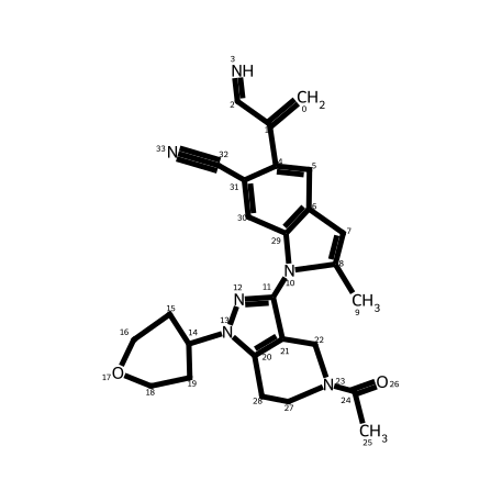 C=C(C=N)c1cc2cc(C)n(-c3nn(C4CCOCC4)c4c3CN(C(C)=O)CC4)c2cc1C#N